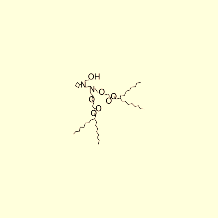 CCCCCCCCC(CCCCCCCC)COC(=O)CCOCCN(CCOCCC(=O)OCC(CCCCCCCC)CCCCCCCC)CCN(CCO)C1CCC1